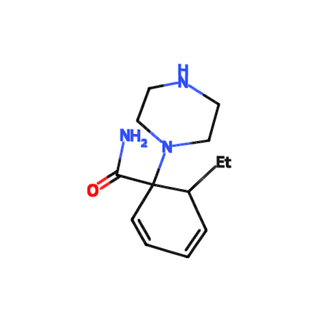 CCC1C=CC=CC1(C(N)=O)N1CCNCC1